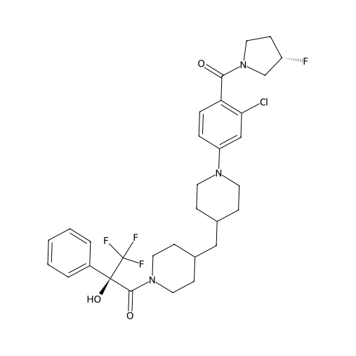 O=C(c1ccc(N2CCC(CC3CCN(C(=O)[C@](O)(c4ccccc4)C(F)(F)F)CC3)CC2)cc1Cl)N1CC[C@H](F)C1